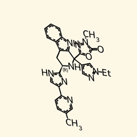 CCn1cc(C2(c3nn(C)c(=O)o3)N[C@@H](c3nc(-c4ccc(C)cn4)c[nH]3)Cc3c2[nH]c2ccccc32)cn1